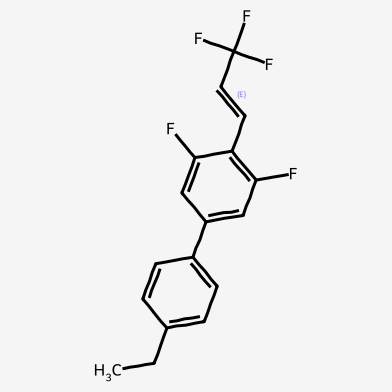 CCc1ccc(-c2cc(F)c(/C=C/C(F)(F)F)c(F)c2)cc1